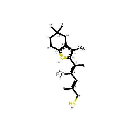 CC(=O)c1c(/C(C)=C(/C=C(\C)CS)C(F)(F)F)sc2c1CC(C)(C)CC2